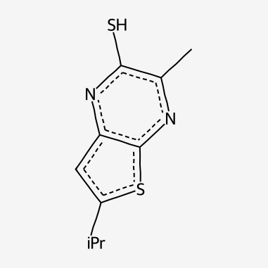 Cc1nc2sc(C(C)C)cc2nc1S